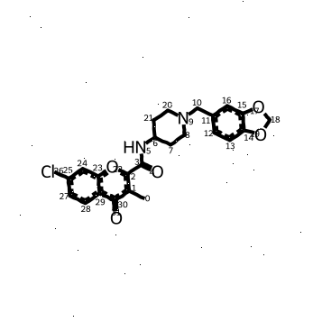 Cc1c(C(=O)NC2CCN(Cc3ccc4c(c3)OCO4)CC2)oc2cc(Cl)ccc2c1=O